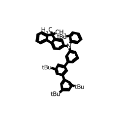 CC(C)(C)c1cc(-c2cccc(N(c3ccc4c(c3)C(C)(C)c3ccccc3-4)c3ccccc3C(C)(C)C)c2)cc(-c2cc(C(C)(C)C)cc(C(C)(C)C)c2)c1